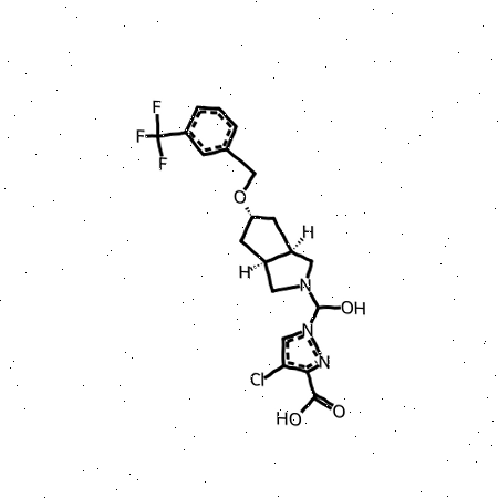 O=C(O)c1nn(C(O)N2C[C@H]3C[C@H](OCc4cccc(C(F)(F)F)c4)C[C@H]3C2)cc1Cl